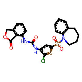 O=C(Nc1cc(S(=O)(=O)N2CCCCc3ccccc32)sc1Cl)Nc1cccc2c1C(=O)OC2